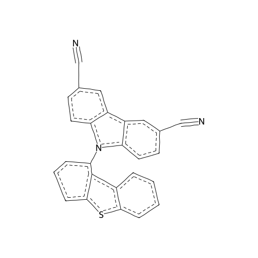 N#Cc1ccc2c(c1)c1cc(C#N)ccc1n2-c1cccc2sc3ccccc3c12